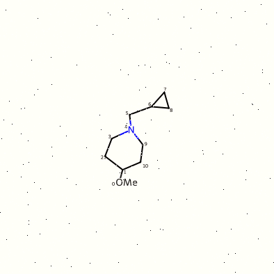 COC1[CH]CN(CC2CC2)CC1